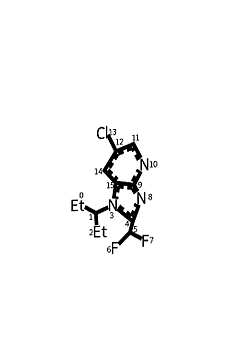 CCC(CC)n1c(C(F)F)nc2ncc(Cl)cc21